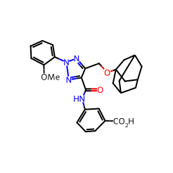 COc1ccccc1-n1nc(COC23CC4CC(CC(C4)C2)C3)c(C(=O)Nc2cccc(C(=O)O)c2)n1